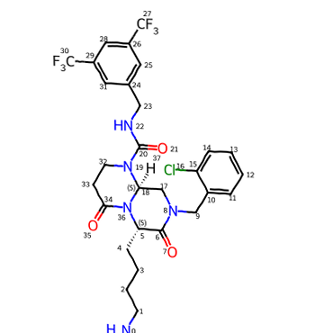 NCCCC[C@H]1C(=O)N(Cc2ccccc2Cl)C[C@@H]2N(C(=O)NCc3cc(C(F)(F)F)cc(C(F)(F)F)c3)CCC(=O)N21